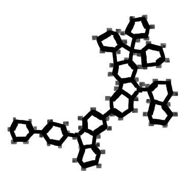 c1ccc(-c2ccc(-n3c4ccccc4c4cc(-c5ccc6c(c5)c5cc7c(cc5n6-c5cccc6ccccc56)C(c5ccccc5)(c5ccccc5)c5ccccc5-7)ccc43)cc2)cc1